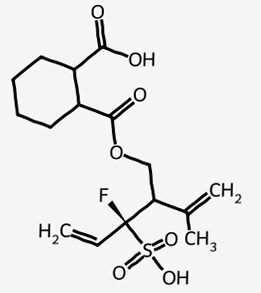 C=C[C@](F)(C(COC(=O)C1CCCCC1C(=O)O)C(=C)C)S(=O)(=O)O